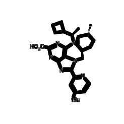 C[C@@H](Nc1nc(C(=O)O)nc2nc(-c3cc(C(C)(C)C)ccn3)n(C[C@H]3CC[C@H](C)CC3)c12)C1CCC1